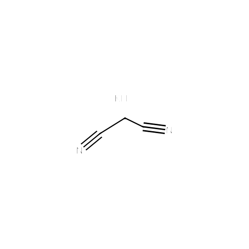 N#CCC#N.[KH]